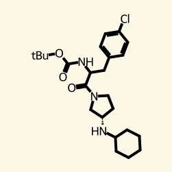 CC(C)(C)OC(=O)NC(Cc1ccc(Cl)cc1)C(=O)N1CC[C@H](NC2CCCCC2)C1